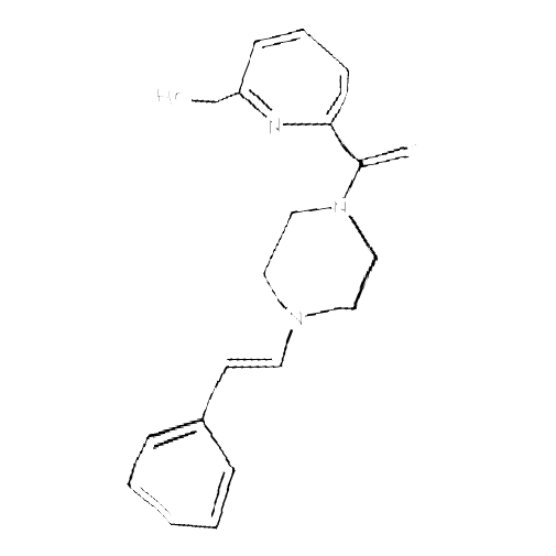 O=Cc1cccc(C(=O)N2CCN(C=Cc3ccccc3)CC2)n1